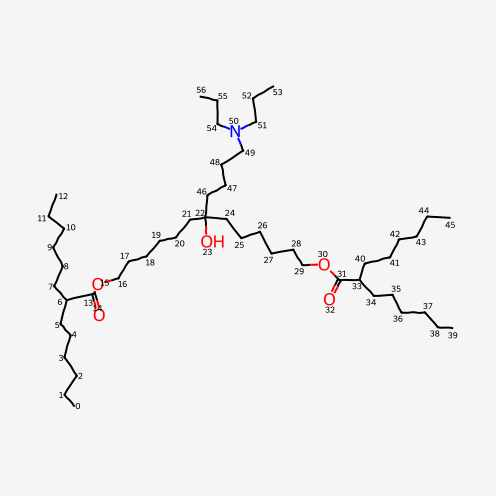 CCCCCCC(CCCCCC)C(=O)OCCCCCCC(O)(CCCCCCOC(=O)C(CCCCCC)CCCCCC)CCCCN(CCC)CCC